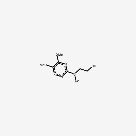 CCCN(CCO)c1nnc(OC)c(OC)n1